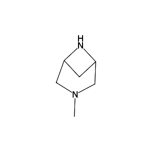 CN1CC2CC(C1)N2